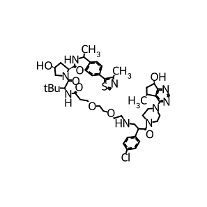 Cc1ncsc1-c1ccc(C(C)NC(=O)[C@@H]2C[C@@H](O)CN2C(=O)C(NC(=O)CCOCCOCCNCC(C(=O)N2CCN(c3ncnc4c3[C@H](C)C[C@H]4O)CC2)c2ccc(Cl)cc2)C(C)(C)C)cc1